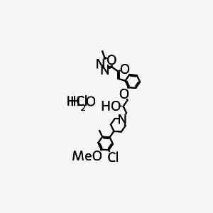 COc1cc(C)c(C2CCN(C[C@H](O)COc3cccc4oc(-c5nnc(C)o5)cc34)CC2)cc1Cl.Cl.O